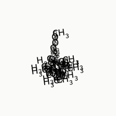 CCOCCOCCOc1ccc(CCC[C@@H](C(=O)OC)N2CCN([C@@H](COC(C)(C)C)C(=O)OC)CCN([C@@H](COC(C)(C)C)C(=O)OC)CCN([C@@H](COC(C)(C)C)C(=O)OC)CC2)cc1